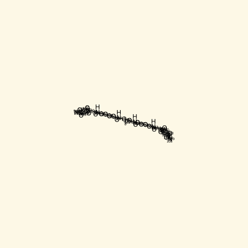 Cc1cc(OCCCNC(=O)CCOCCOCCOCCOCCNC(=O)CCCCCN2C(=O)c3ccc4c5c(ccc(c35)C2=O)C(=O)N(CCN(C)C)C4=O)cc(OCCCNC(=O)OCCOCCOCCOCCNC(=O)CCCCCN2C(=O)c3ccc4c5c(ccc(c35)C2=O)C(=O)N(CCN(C)C)C4=O)c1